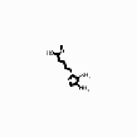 COC(O)CCCC[C@@H]1SC[C@H](N)[C@@H]1N